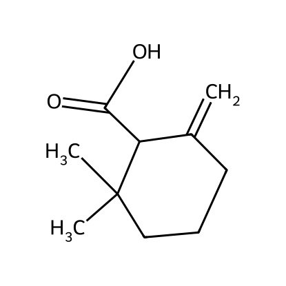 C=C1CCCC(C)(C)C1C(=O)O